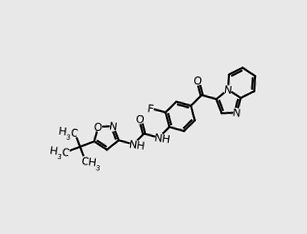 CC(C)(C)c1cc(NC(=O)Nc2ccc(C(=O)c3cnc4ccccn34)cc2F)no1